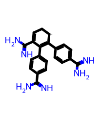 N=C(N)C1=CC[CH]C(c2ccc(C(=N)N)cc2)=C1c1ccc(C(=N)N)cc1